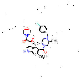 COc1cc2[nH]cc(C(=O)C(=O)N3CCOCC3)c2cc1C(=O)N1CC(C)N(Cc2ccc(F)cc2)CC1C